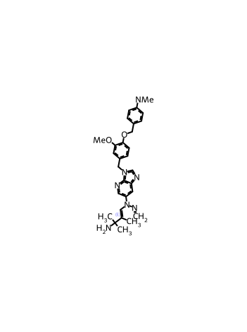 C=NN(/C=C(\C)C(C)(C)N)c1cnc2c(c1)ncn2Cc1ccc(OCc2ccc(NC)cc2)c(OC)c1